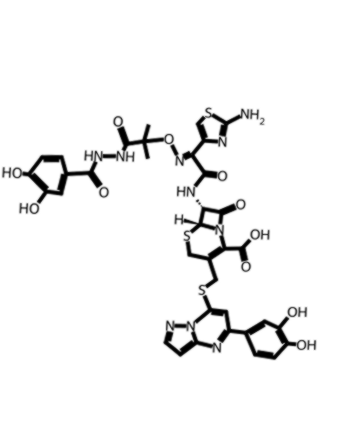 CC(C)(ON=C(C(=O)N[C@@H]1C(=O)N2C(C(=O)O)=C(CSc3cc(-c4ccc(O)c(O)c4)nc4ccnn34)CS[C@H]12)c1csc(N)n1)C(=O)NNC(=O)c1ccc(O)c(O)c1